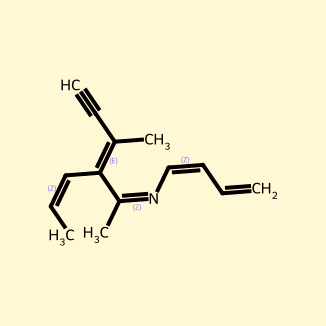 C#C/C(C)=C(\C=C/C)C(/C)=N\C=C/C=C